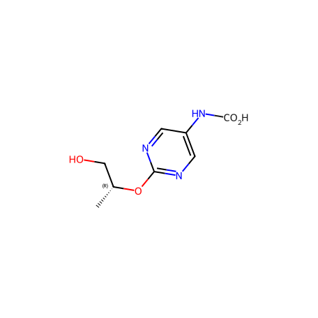 C[C@H](CO)Oc1ncc(NC(=O)O)cn1